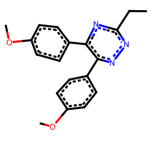 CCc1nnc(-c2ccc(OC)cc2)c(-c2ccc(OC)cc2)n1